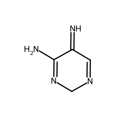 N=C1C=NCN=C1N